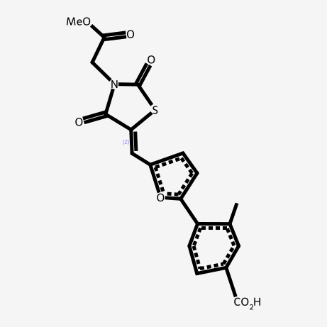 COC(=O)CN1C(=O)S/C(=C\c2ccc(-c3ccc(C(=O)O)cc3C)o2)C1=O